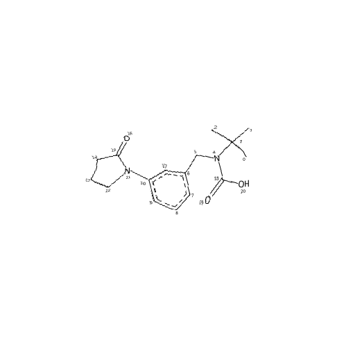 CC(C)(C)N(Cc1cccc(N2CCCC2=O)c1)C(=O)O